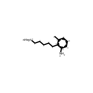 CCCCCCCCCCCCc1c(C)cccc1N